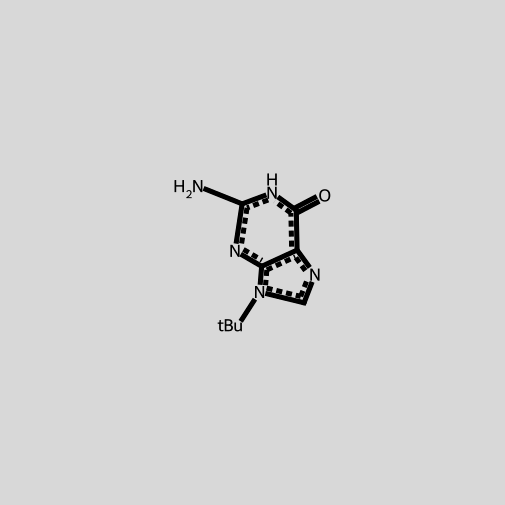 CC(C)(C)n1cnc2c(=O)[nH]c(N)nc21